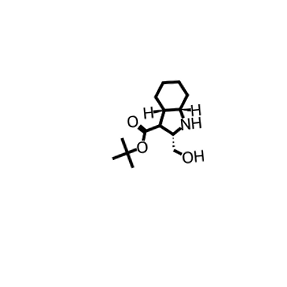 CC(C)(C)OC(=O)C1[C@@H](CO)N[C@H]2CCCC[C@@H]12